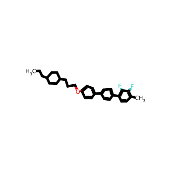 CCCC1CCC(CCCOc2ccc(-c3ccc(-c4ccc(C)c(F)c4F)cc3)cc2)CC1